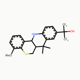 COc1cccc2c1SCC1C2Nc2ccc(C(O)(C(F)(F)F)C(F)(F)F)cc2C1(C)C